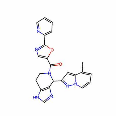 Cc1cccn2nc(C3c4nc[nH]c4CCN3C(=O)c3cnc(-c4ccccn4)o3)cc12